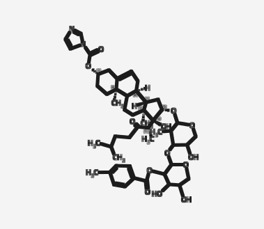 Cc1ccc(C(=O)OC2C(OC3C(O)COC(O[C@H]4C[C@H]5[C@@H]6CC=C7C[C@@H](OC(=O)n8ccnc8)CC[C@]7(C)C6CC[C@]5(C)[C@@]4(O)[C@H](C)C(=O)CCC(C)C)C3C)OCC(O)C2O)cc1